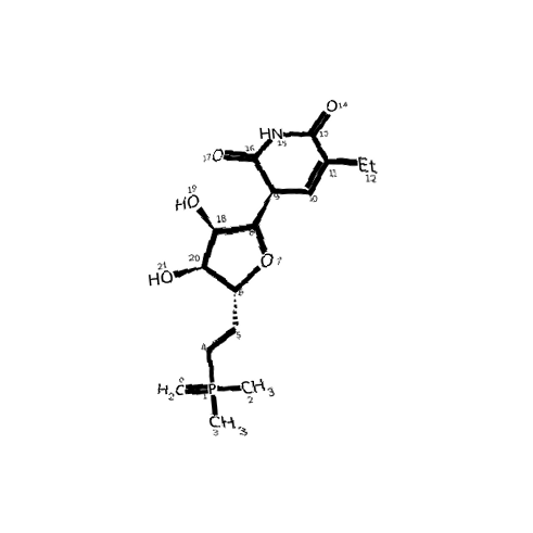 C=P(C)(C)CC[C@H]1OC([C@@H]2C=C(CC)C(=O)NC2=O)[C@H](O)[C@@H]1O